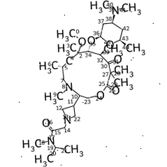 CO[C@]1(C)C[C@@H](C)CN(C)C(C2CN(CC(=O)N(C)C(C)C)C2)COC(=O)C(C)(C)C(=O)[C@H](C)[C@H]1O[C@H]1C[C@@H](N(C)C)C[C@@H](C)O1